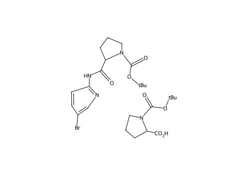 CC(C)(C)OC(=O)N1CCCC1C(=O)Nc1ccc(Br)cn1.CC(C)(C)OC(=O)N1CCCC1C(=O)O